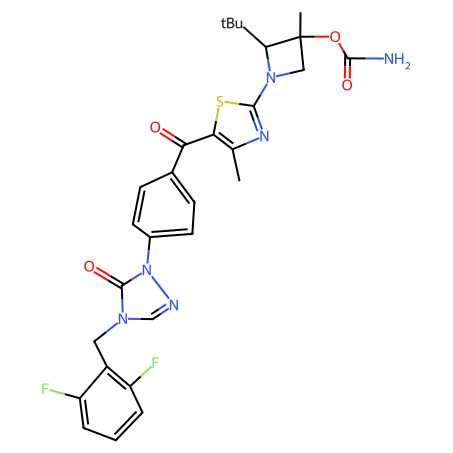 Cc1nc(N2CC(C)(OC(N)=O)C2C(C)(C)C)sc1C(=O)c1ccc(-n2ncn(Cc3c(F)cccc3F)c2=O)cc1